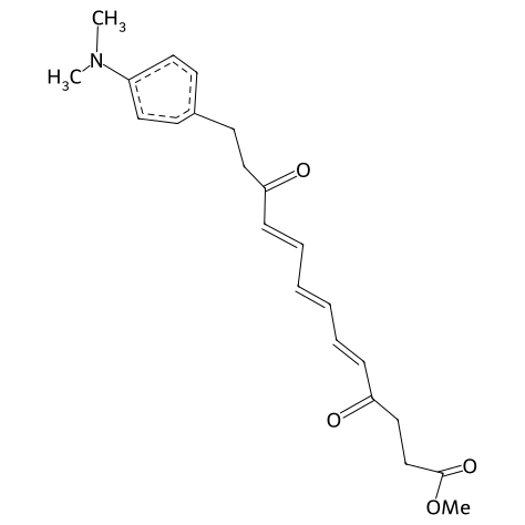 COC(=O)CCC(=O)/C=C/C=C/C=C/C(=O)CCc1ccc(N(C)C)cc1